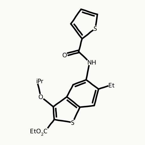 CCOC(=O)c1sc2cc(CC)c(NC(=O)c3cccs3)cc2c1OC(C)C